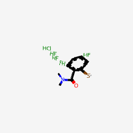 CN(C)C(=O)c1ccccc1[S].Cl.F.F.F.F